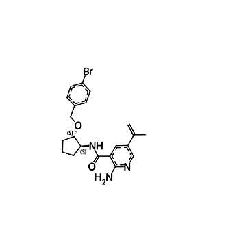 C=C(C)c1cnc(N)c(C(=O)N[C@H]2CCC[C@@H]2OCc2ccc(Br)cc2)c1